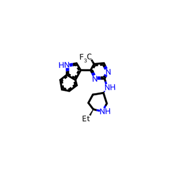 CC[C@H]1CC[C@H](Nc2ncc(C(F)(F)F)c(-c3c[nH]c4ccccc34)n2)CN1